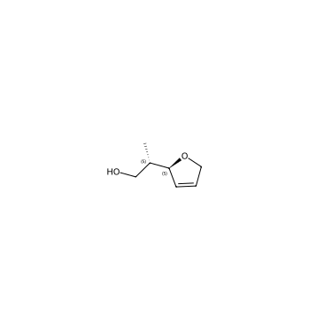 C[C@@H](CO)[C@@H]1C=CCO1